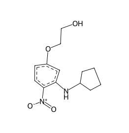 O=[N+]([O-])c1ccc(OCCO)cc1NC1CCCC1